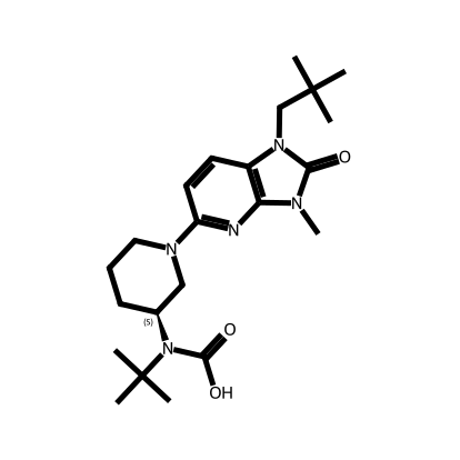 Cn1c(=O)n(CC(C)(C)C)c2ccc(N3CCC[C@H](N(C(=O)O)C(C)(C)C)C3)nc21